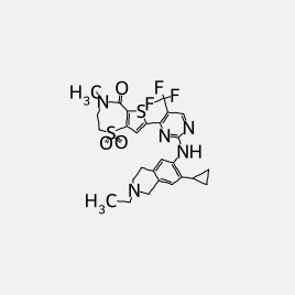 CCN1CCc2cc(Nc3ncc(C(F)(F)F)c(-c4cc5c(s4)C(=O)N(C)CCS5(=O)=O)n3)c(C3CC3)cc2C1